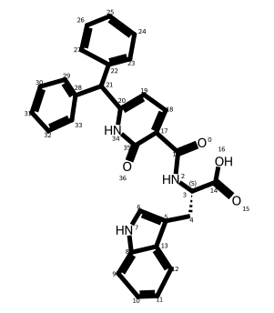 O=C(N[C@@H](Cc1c[nH]c2ccccc12)C(=O)O)c1ccc(C(c2ccccc2)c2ccccc2)[nH]c1=O